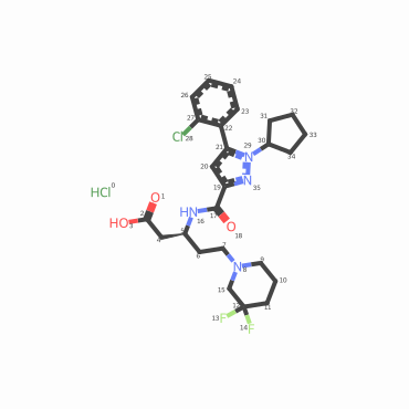 Cl.O=C(O)C[C@H](CCN1CCCC(F)(F)C1)NC(=O)c1cc(-c2ccccc2Cl)n(C2CCCC2)n1